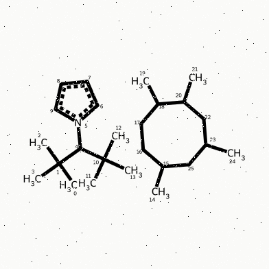 CC(C)(C)C(n1cccc1)C(C)(C)C.CC1CCC(C)C(C)CC(C)C1